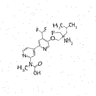 CC(C)C[C@](N)(CF)COc1cnc(-c2ccnc(N(C)C(=O)O)c2)cc1C(F)F